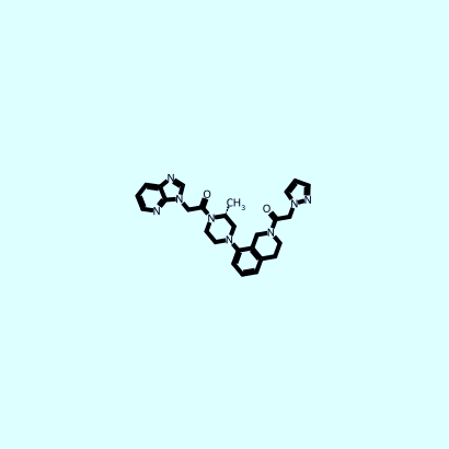 C[C@@H]1CN(c2cccc3c2CN(C(=O)Cn2cccn2)CC3)CCN1C(=O)Cn1cnc2cccnc21